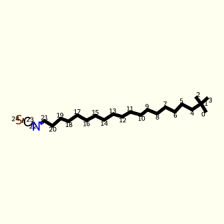 CC(C)(C)CCCCCCCCCCCCCCCCCCN=C=S